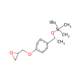 C[C@@H](O[Si](C)(C)C(C)(C)C)c1ccc(OCC2CO2)cc1